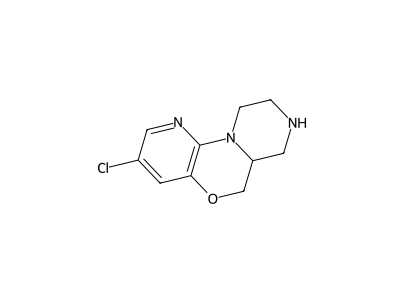 Clc1cnc2c(c1)OCC1CNCCN21